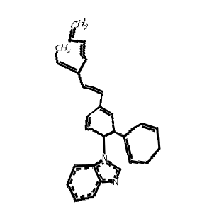 C=C\C=C/C(/C=C/C1=C[C@@H](C2=CCCC=C2)C(n2cnc3ccccc32)C=C1)=C\C